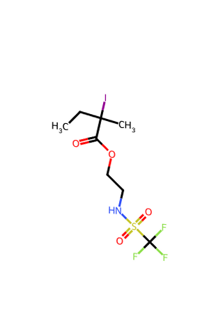 CCC(C)(I)C(=O)OCCNS(=O)(=O)C(F)(F)F